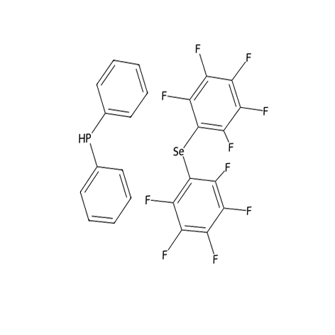 Fc1c(F)c(F)c([Se]c2c(F)c(F)c(F)c(F)c2F)c(F)c1F.c1ccc(Pc2ccccc2)cc1